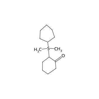 CS(C)(C1CCCCC1)C1CCCCC1=O